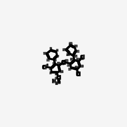 Clc1cc(Cl)c(-c2ccccc2)c(Cl)c1.Clc1cc(Cl)c(-c2ccccc2)c(Cl)c1.S